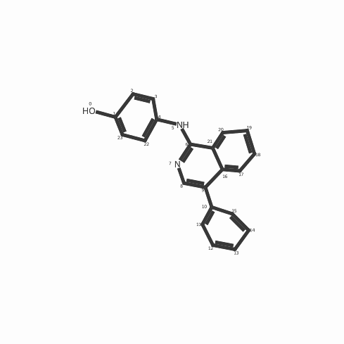 Oc1ccc(Nc2ncc(-c3ccccc3)c3ccccc23)cc1